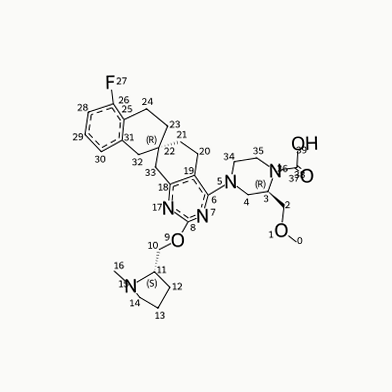 COC[C@H]1CN(c2nc(OC[C@@H]3CCCN3C)nc3c2CC[C@]2(CCc4c(F)cccc4C2)C3)CCN1C(=O)O